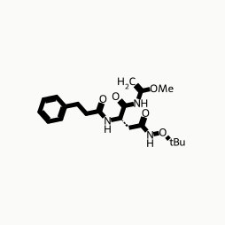 C=C(NC(=O)[C@H](CC(=O)NOC(C)(C)C)NC(=O)CCc1ccccc1)OC